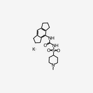 CN1CCC(S(=O)(=O)NC(=O)Nc2c3c(cc4c2CCC4)CCC3)CC1.[K]